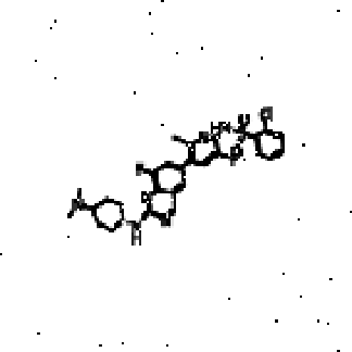 Cc1nc(NS(=O)(=O)c2ccccc2Cl)c(F)cc1-c1cc(F)c2nc(N[C@H]3CC[C@H](N(C)C)CC3)ncc2c1